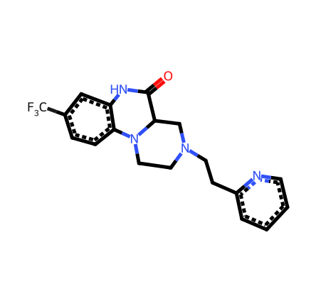 O=C1Nc2cc(C(F)(F)F)ccc2N2CCN(CCc3ccccn3)CC12